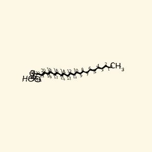 CCCCCCCCCCCCCCCCCCCCC=CCS(=O)(=O)O